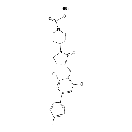 Cc1ccc(-c2cc(Cl)c(C[C@@H]3CCN(C4CCN(C(=O)OC(C)(C)C)CC4)C3=O)c(Cl)c2)cc1